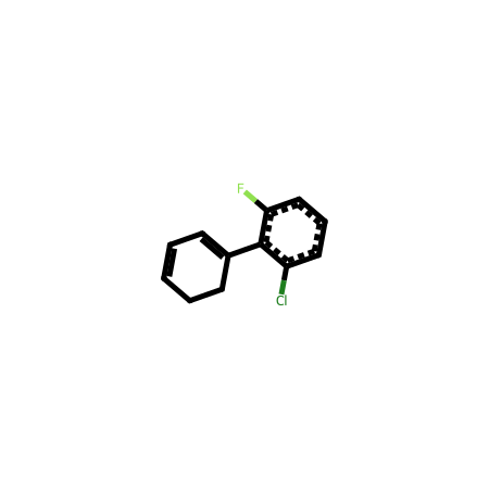 Fc1cccc(Cl)c1C1=CC=CCC1